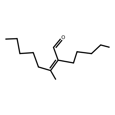 CCCCCC(C)=C(C=O)CCCCC